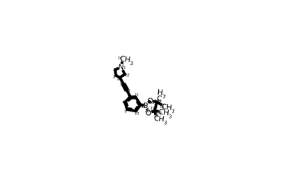 CN1CCC(C#Cc2cccc(B3OC(C)(C)C(C)(C)O3)c2)C1